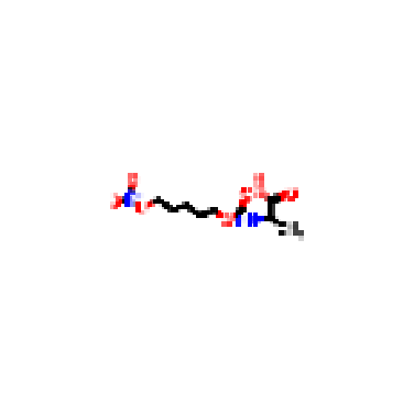 CC(NC(=O)OCCCCCO[N+](=O)[O-])C(=O)O